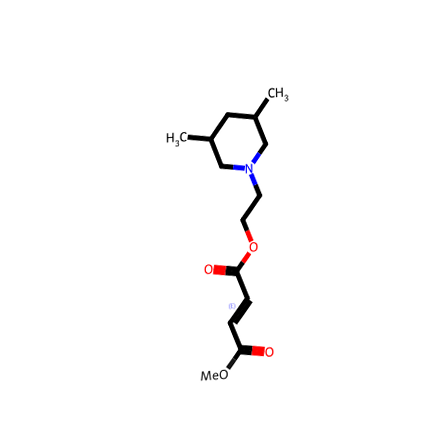 COC(=O)/C=C/C(=O)OCCN1CC(C)CC(C)C1